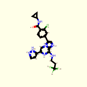 O=C(NC1CC1)c1ccc(-c2cnc3c(NCCC(F)(F)F)nc(-c4ccn[nH]4)cn23)cc1Cl